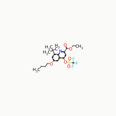 CCCCOc1cc(C(C)(C)C)c2nc(C(=O)OCC)cc(OS(=O)(=O)C(F)(F)F)c2c1